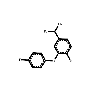 N#CC(O)c1ccc(F)c(Oc2ccc(F)cc2)c1